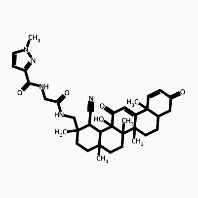 Cn1ccc(C(=O)NCC(=O)NCC2(C)CCC3(C)CCC4(C)C5(C)CCC6CC(=O)C=CC6(C)C5=CC(=O)C4(O)C3C2C#N)n1